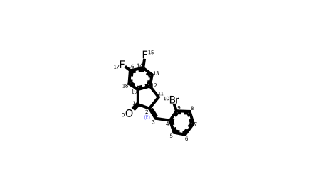 O=C1/C(=C/c2ccccc2Br)Cc2cc(F)c(F)cc21